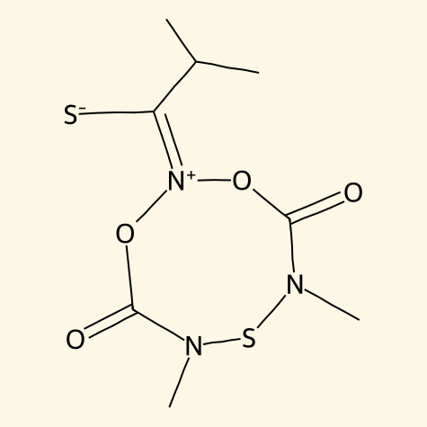 CC(C)C([S-])=[N+]1OC(=O)N(C)SN(C)C(=O)O1